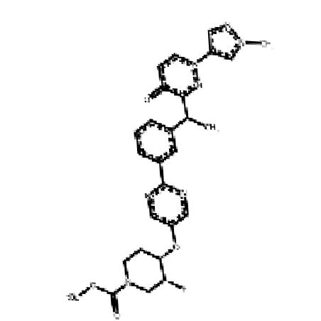 CC(c1cccc(-c2ncc(O[C@@H]3CCN(C(=O)OC(C)(C)C)C[C@@H]3F)cn2)c1)c1nn(-c2cnn(C)c2)ccc1=O